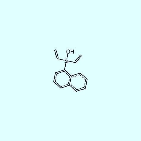 C=C[Si](O)(C=C)c1cccc2ccccc12